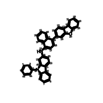 c1ccc(-n2c3ccccc3c3ccc(Nc4ccc(-c5ccc6c(c5)oc5ccccc56)c5ccccc45)cc32)cc1